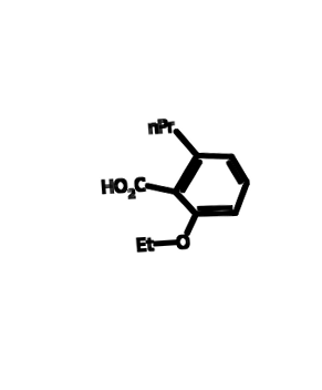 CCCc1cccc(OCC)c1C(=O)O